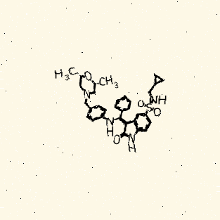 C[C@@H]1CN(Cc2ccc(N/C(=C3\C(=O)Nc4ccc(S(=O)(=O)NCC5CC5)cc43)c3ccccc3)cc2)C[C@H](C)O1